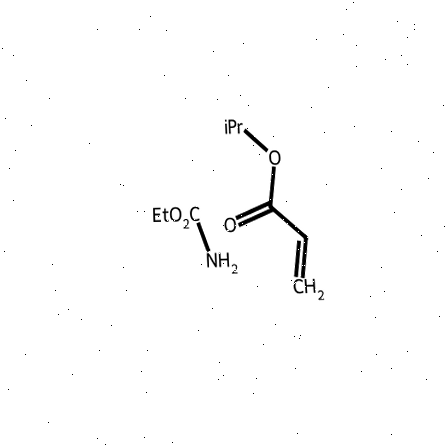 C=CC(=O)OC(C)C.CCOC(N)=O